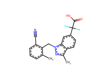 Cc1cccc(C#N)c1Cn1nc(C)c2ccc(C(F)(F)C(=O)O)cc21